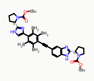 Bc1c(B)c(-c2c[nH]c([C@@H]3CCCN3C(=O)OC(C)(C)C)n2)c(B)c(B)c1C#Cc1ccc2[nH]c([C@@H]3CCCN3C(=O)OC(C)(C)C)nc2c1